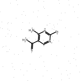 CCc1ncc(C(N)=S)c(N)n1